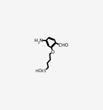 CCCCCCCCCCCCOc1cc(N)ccc1C=O